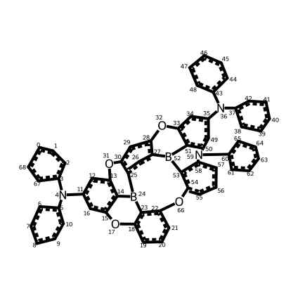 c1ccc(N(c2ccccc2)c2cc3c4c(c2)Oc2cccc5c2B4c2cc4c(cc2O3)Oc2cc(N(c3ccccc3)c3ccccc3)cc3c2B4c2c(cccc2N3c2ccccc2)O5)cc1